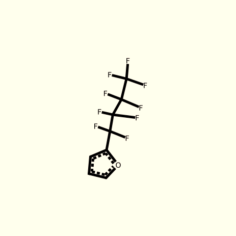 FC(F)(F)C(F)(F)C(F)(F)C(F)(F)c1ccco1